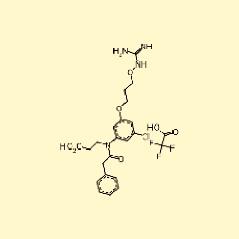 N=C(N)NOCCCOc1cc(Cl)cc(N(CCC(=O)O)C(=O)Cc2ccccc2)c1.O=C(O)C(F)(F)F